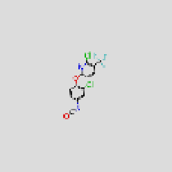 O=C=Nc1ccc(Oc2ccc(C(F)(F)F)c(Cl)n2)c(Cl)c1